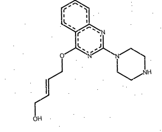 OCC=CCOc1nc(N2CCNCC2)nc2ccccc12